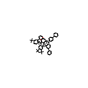 Cc1cc2c3c(c1)N(c1ccc(C(C)(C)C)cc1-c1ccccc1)c1cc4c(cc1B3c1cc(-c3ccccc3)ccc1N2c1ccc(-c2ccccc2)cc1)C(C)(C)CC4(C)C